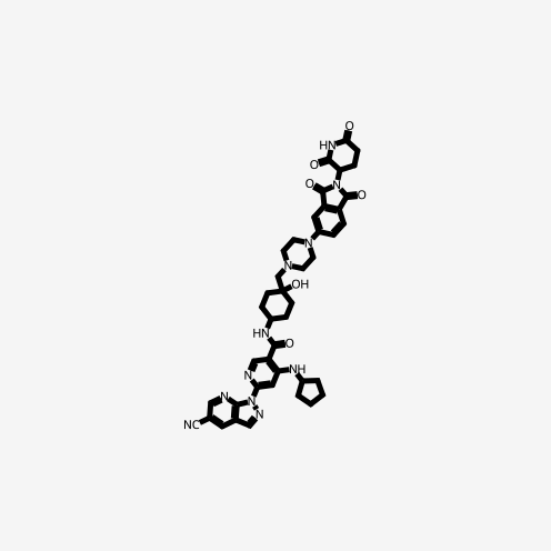 N#Cc1cnc2c(cnn2-c2cc(NC3CCCC3)c(C(=O)NC3CCC(O)(CN4CCN(c5ccc6c(c5)C(=O)N(C5CCC(=O)NC5=O)C6=O)CC4)CC3)cn2)c1